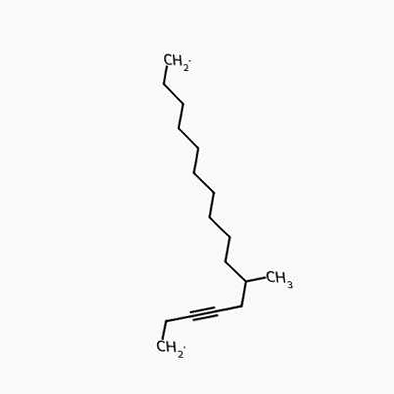 [CH2]CC#CCC(C)CCCCCCCCC[CH2]